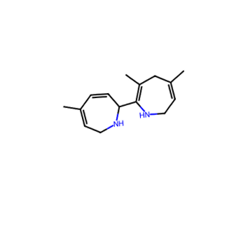 CC1=CCNC(C2=C(C)CC(C)=CCN2)C=C1